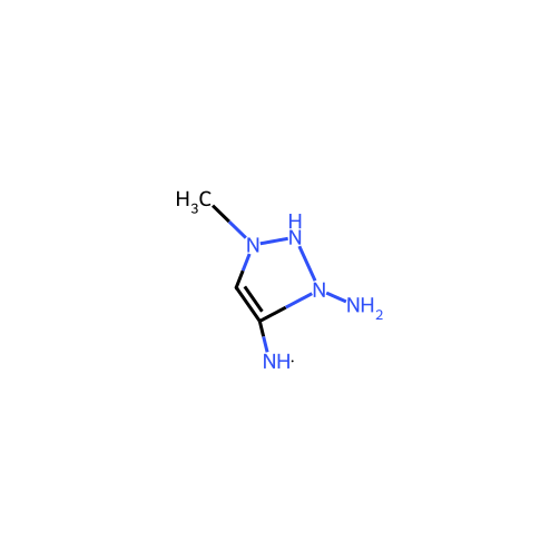 CN1C=C([NH])N(N)N1